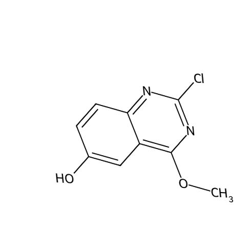 COc1nc(Cl)nc2ccc(O)cc12